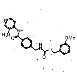 COc1cccc(COC(=O)NCc2ccc(C(=O)Nc3ccncc3N)cc2)c1